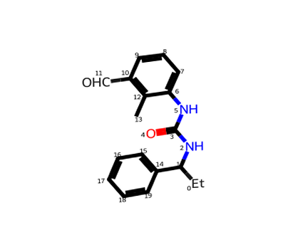 CCC(NC(=O)Nc1cccc(C=O)c1C)c1ccccc1